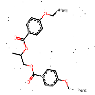 CCC[C@@H](C)COc1ccc(C(=O)OCC(C)OC(=O)c2ccc(OC[C@H](C)CCC)cc2)cc1